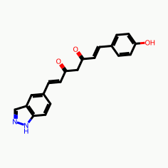 O=C(/C=C/c1ccc(O)cc1)CC(=O)/C=C/c1ccc2[nH]ncc2c1